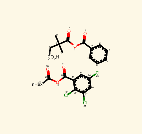 CC(C)(CC(=O)O)C(=O)OC(=O)c1ccccc1.CCCCCCC(=O)OC(=O)c1cc(Cl)cc(Cl)c1Cl